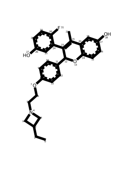 CCC1CN(CCOc2ccc(C3Oc4ccc(O)cc4C(C)=C3c3cc(O)ccc3F)cc2)C1